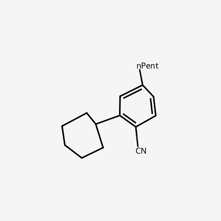 CCCCCc1ccc(C#N)c(C2CCCCC2)c1